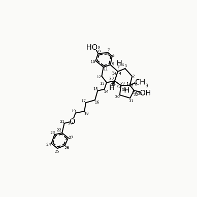 C[C@]12CC[C@@H]3c4ccc(O)cc4CC(CCCCCCOCc4ccccc4)[C@H]3[C@@H]1CC[C@@H]2O